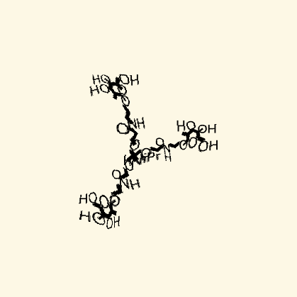 CC(C)NC(COCCC(=O)NCCCO[C@@H]1OC(CO)[C@H](O)[C@H](O)C1C)(COCCC(=O)NCCCO[C@@H]1OC(CO)[C@H](O)[C@H](O)C1C)COCCC(=O)NCCCO[C@@H]1OC(CO)[C@H](O)[C@H](O)C1C